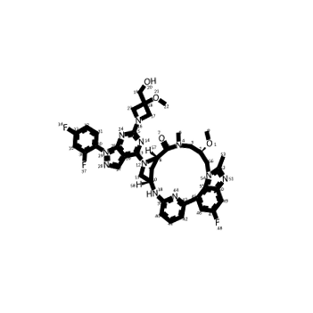 CO[C@H]1CN(C)C(=O)[C@@H]2C[C@@H](CN2c2nc(N3CC(CO)(OC)C3)nc3c2cnn3-c2ccc(F)cc2F)Nc2cccc(n2)-c2cc(F)cc3nc(C)n(c23)C1